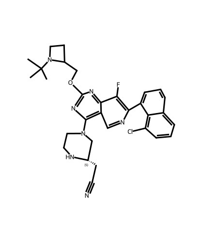 CC(C)(C)N1CCC1COc1nc(N2CCN[C@@H](CC#N)C2)c2cnc(-c3cccc4cccc(Cl)c34)c(F)c2n1